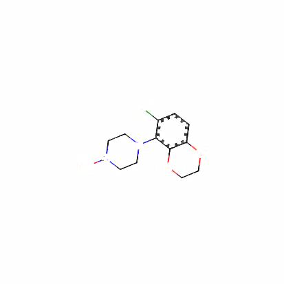 ON1CCN(c2c(Cl)ccc3c2OCCO3)CC1